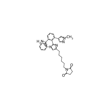 Cn1cc(-c2cccc(C(N)=O)c2-c2nc(CCCCCCN3C(=O)CCC3=O)cn2-c2ccccc2)cn1